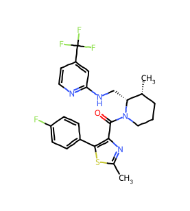 Cc1nc(C(=O)N2CCC[C@@H](C)[C@H]2CNc2cc(C(F)(F)F)ccn2)c(-c2ccc(F)cc2)s1